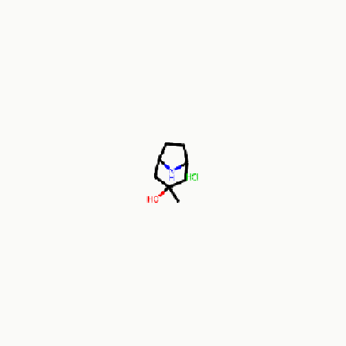 CC1(O)CC2CCC(C1)N2.Cl